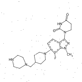 Cn1nc(N2CCC(=O)NC2=O)c2ccc(N3CCC(CN4CCNCC4)CC3)c(F)c21